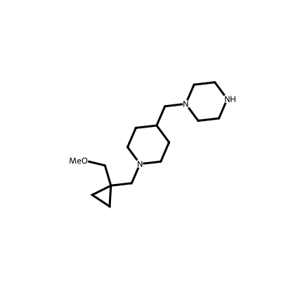 COCC1(CN2CCC(CN3CCNCC3)CC2)CC1